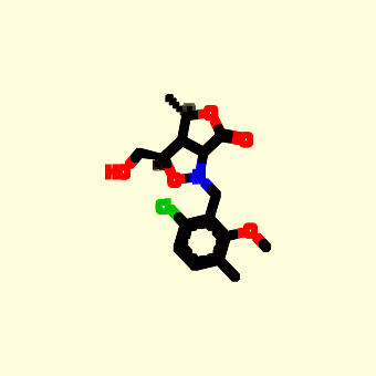 COc1c(C)ccc(Cl)c1CN1O[C@@H](CO)C2C1C(=O)O[C@H]2C